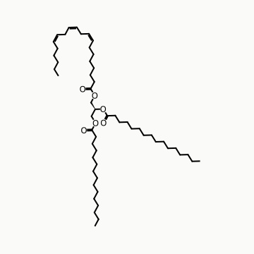 CCCCC/C=C\C/C=C\C/C=C\CCCCCCC(=O)OC[C@H](COC(=O)CCCCCCCCCCCCCC)OC(=O)CCCCCCCCCCCCCCC